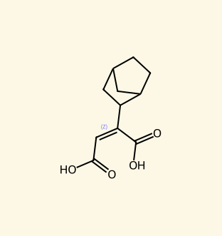 O=C(O)/C=C(\C(=O)O)C1CC2CCC1C2